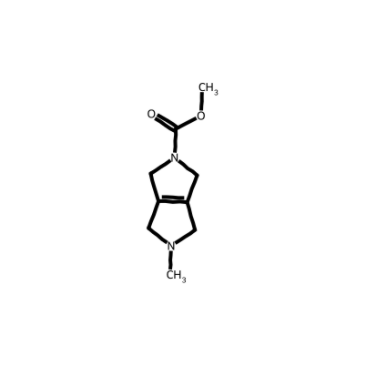 COC(=O)N1CC2=C(CN(C)C2)C1